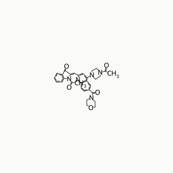 CC(=O)N1CCN(c2cc(/C=C3/C(=O)c4ccccc4N3C(C)=O)nc3ccc(C(=O)N4CCOCC4)cc23)CC1